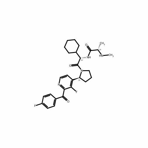 CN[C@@H](C)C(=O)N[C@H](C(=O)N1CCC[C@H]1c1ccnc(C(=O)c2ccc(F)cc2)c1F)C1CCCCC1